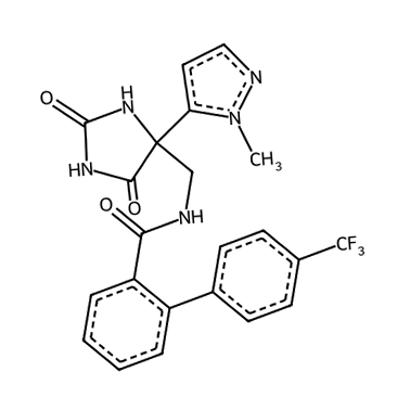 Cn1nccc1C1(CNC(=O)c2ccccc2-c2ccc(C(F)(F)F)cc2)NC(=O)NC1=O